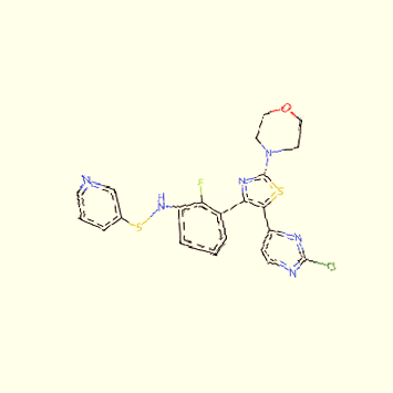 Fc1c(NSc2cccnc2)cccc1-c1nc(N2CCOCC2)sc1-c1ccnc(Cl)n1